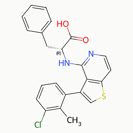 Cc1c(Cl)cccc1-c1csc2ccnc(N[C@H](Cc3ccccc3)C(=O)O)c12